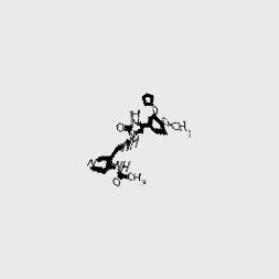 COc1ccc(C2CN(NCc3cnccc3NC(C)=O)C(=O)N2)cc1OC1CCCC1